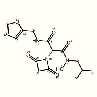 CC(C)CN(O)C(=O)[C@@H](C(=O)NCc1ccco1)N1C(=O)CC1=O